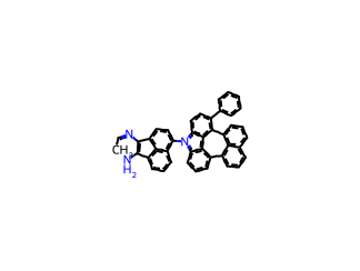 C/C=N\C1=C(N)c2cccc3c(-n4c5cccc6c5c5c(c(-c7ccccc7)ccc54)-c4cccc5cccc-6c45)ccc1c23